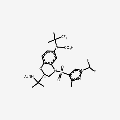 CC(=O)NC(C)(C)[C@@H]1CN(S(=O)(=O)c2cn(C(F)F)nc2C)c2cc(N(C(=O)O)C(C)(C)C(F)(F)F)ccc2O1